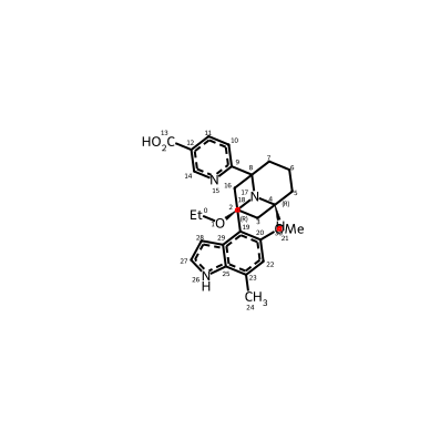 CCO[C@@H]1C[C@H]2CCCC(c3ccc(C(=O)O)cn3)(C1)N2Cc1c(OC)cc(C)c2[nH]ccc12